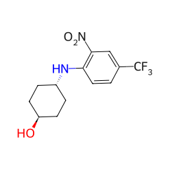 O=[N+]([O-])c1cc(C(F)(F)F)ccc1N[C@H]1CC[C@H](O)CC1